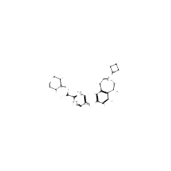 O=C(NC1CCOCC1)c1ncc(Oc2ccc3c(c2)CCN(C2CCC2)CC3)cn1